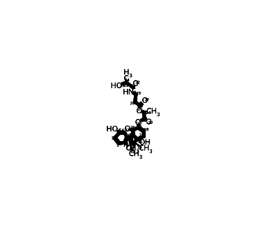 Cc1ccc(O)c2c1C13CCN(C)[C@H](C)[C@]1(O)CC=C(OC(=O)[C@H](C)OC(=O)CCNC(=O)[C@H](C)O)C3O2